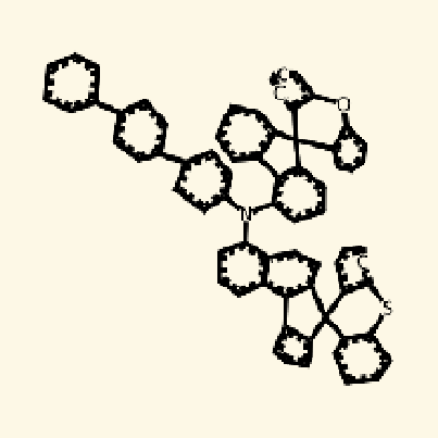 c1ccc(-c2ccc(-c3ccc(N(c4cccc5c4-c4ccccc4C54c5ccccc5Oc5ccccc54)c4cccc5c6c(ccc45)C4(c5ccccc5Sc5ccccc54)c4ccccc4-6)cc3)cc2)cc1